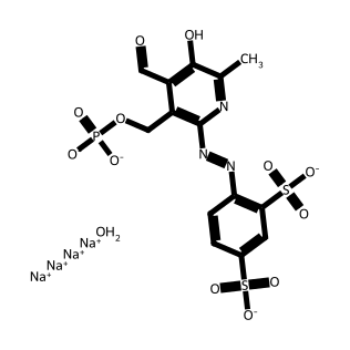 Cc1nc(N=Nc2ccc(S(=O)(=O)[O-])cc2S(=O)(=O)[O-])c(COP(=O)([O-])[O-])c(C=O)c1O.O.[Na+].[Na+].[Na+].[Na+]